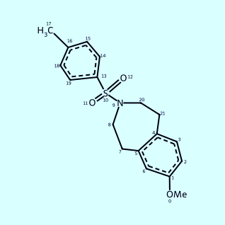 COc1ccc2c(c1)CCN(S(=O)(=O)c1ccc(C)cc1)CC2